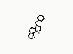 c1ccc(Cc2ccnc3c2ccc2cccnc23)cc1